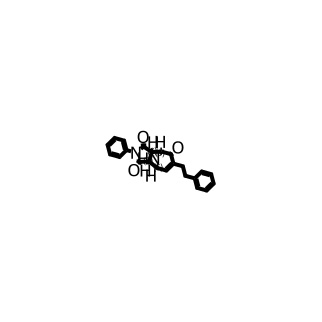 O=C1C(CCc2ccccc2)=C[C@@H]2N[C@H]1[C@H]1C(=O)N(c3ccccc3)C(=O)[C@H]12